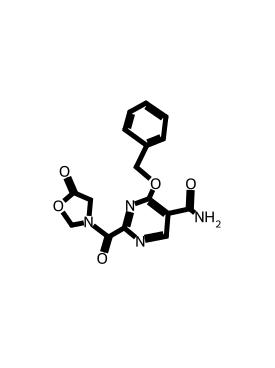 NC(=O)c1cnc(C(=O)N2COC(=O)C2)nc1OCc1ccccc1